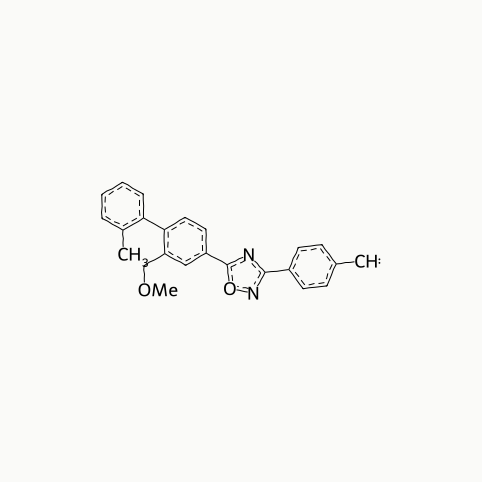 [CH]c1ccc(-c2noc(-c3ccc(-c4ccccc4C)c(COC)c3)n2)cc1